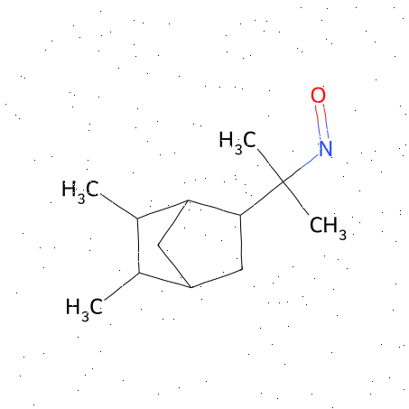 CC1C2CC(C1C)C(C(C)(C)N=O)C2